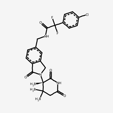 BC1(B)CC(=O)NC(=O)[C@@]1(B)N1Cc2cc(CNC(=O)C(F)(F)c3ccc(Cl)cc3)ccc2C1=O